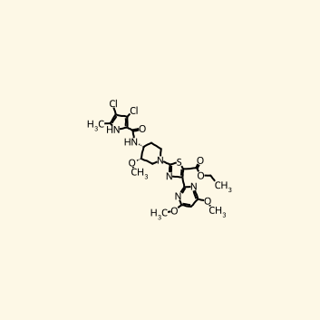 CCOC(=O)c1sc(N2CC[C@@H](NC(=O)c3[nH]c(C)c(Cl)c3Cl)[C@@H](OC)C2)nc1-c1nc(OC)cc(OC)n1